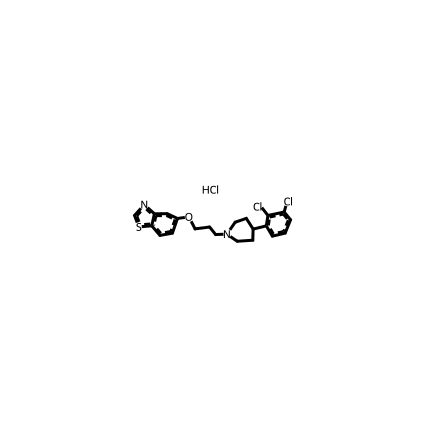 Cl.Clc1cccc(C2CCN(CCCOc3ccc4scnc4c3)CC2)c1Cl